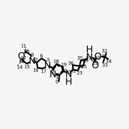 Cc1nc(N2CCC(N3C[C@@H](C)O[C@@H](C)C3)CC2)ccc1NC1CC2(CC(NC(=O)OC(C)(C)C)C2)C1